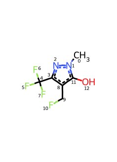 Cn1nc(C(F)(F)F)c(CF)c1O